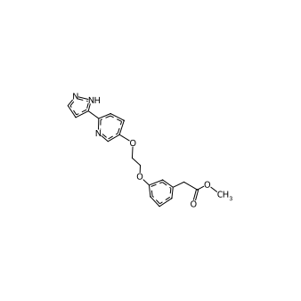 COC(=O)Cc1cccc(OCCOc2ccc(-c3ccn[nH]3)nc2)c1